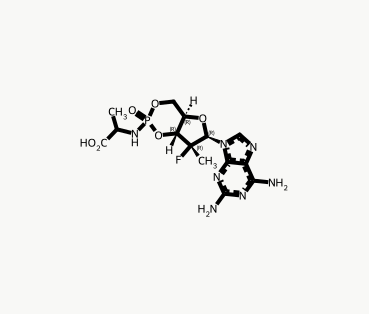 CC(NP1(=O)OC[C@H]2O[C@@H](n3cnc4c(N)nc(N)nc43)[C@](C)(F)[C@@H]2O1)C(=O)O